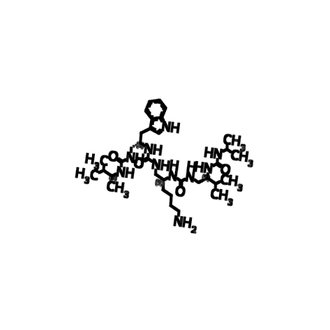 CC(C)NC(=O)N[C@H](CNC(=O)N[C@@H](CCCCN)CNC(=O)N[C@H](CNC(=O)N[C@H](C)C(C)C)Cc1c[nH]c2ccccc12)C(C)C